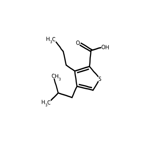 CCCc1c(CC(C)C)csc1C(=O)O